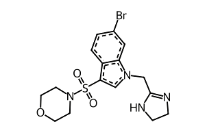 O=S(=O)(c1cn(CC2=NCCN2)c2cc(Br)ccc12)N1CCOCC1